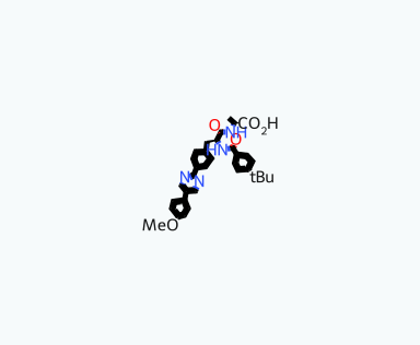 COc1ccc(-c2cnc(-c3ccc(C[C@H](NC(=O)c4ccc(C(C)(C)C)cc4)C(=O)N[C@H](C)C(=O)O)cc3)nc2)cc1